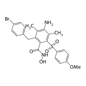 COc1ccc(S(=O)(=O)c2c(C)c(N)c(C)c(Cc3ccc(Br)cc3)c2C(=O)NO)cc1